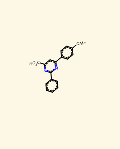 COc1ccc(-c2cc(C(=O)O)nc(-c3ccccc3)n2)cc1